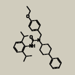 CCOc1ccc(CN(C(=O)Nc2c(C(C)C)cccc2C(C)C)C2CCC(c3ccccc3)CC2)cc1